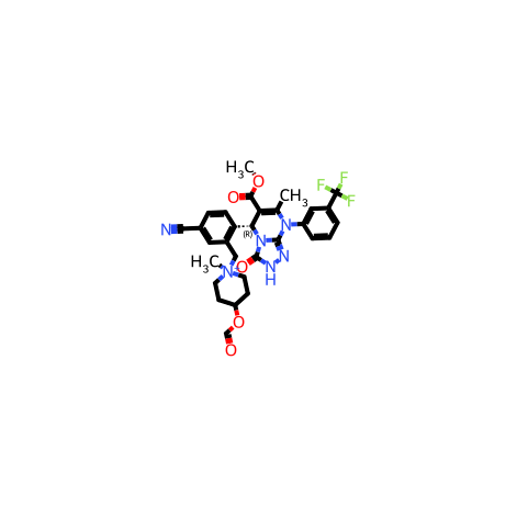 COC(=O)C1=C(C)N(c2cccc(C(F)(F)F)c2)c2n[nH]c(=O)n2[C@@H]1c1ccc(C#N)cc1C[N+]1(C)CCC(OC=O)CC1